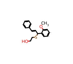 COc1c[c][c]cc1C(/C=C/c1ccccc1)SCCO